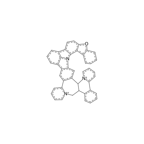 c1ccc2c(c1)-c1cccc[n+]1C1c3cc4c(cc3-c3cccc[n+]3CC21)c1cccc2c3ccc5oc6ccccc6c5c3n4c12